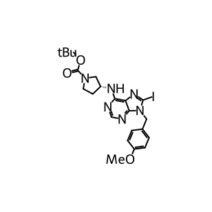 COc1ccc(Cn2c(I)nc3c(N[C@@H]4CCN(C(=O)OC(C)(C)C)C4)ncnc32)cc1